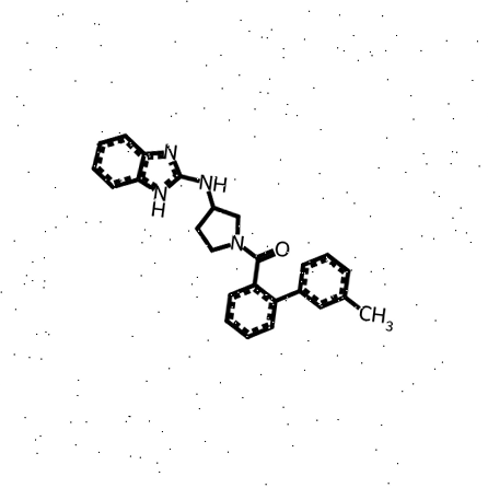 Cc1cccc(-c2ccccc2C(=O)N2CCC(Nc3nc4ccccc4[nH]3)C2)c1